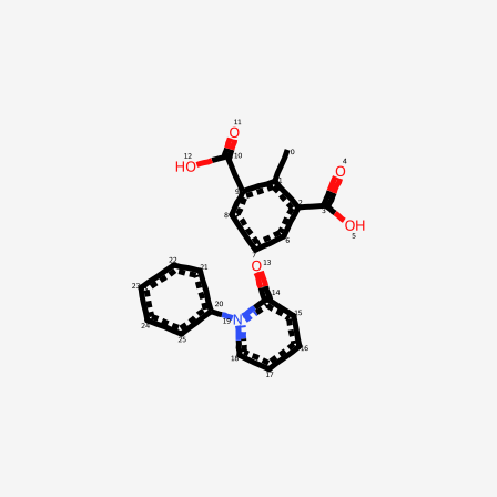 Cc1c(C(=O)O)cccc1C(=O)O.O=c1ccccn1-c1ccccc1